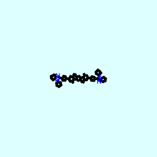 Cc1cc(-c2ccc(C3=NC4C=CC=CC4N3c3ccccc3)cc2)cc2c1C1=C(C=C3C4=C(C=C(c5ccc(C6=NC7C=CC=CC7N6C6C=CC=CC6)cc5)CC4C)C(C)(C)C3C1)C2(C)C